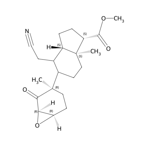 COC(=O)[C@H]1CC[C@H]2C(CC#N)C([C@@]3(C)CC[C@H]4O[C@H]4C3=O)CC[C@]12C